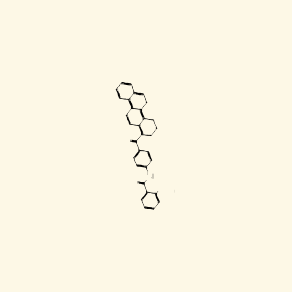 Cc1ccccc1C(=O)Nc1ccc(C(=O)C2=c3ccc4c(c3CCC2)CC=c2ccccc2=4)cc1